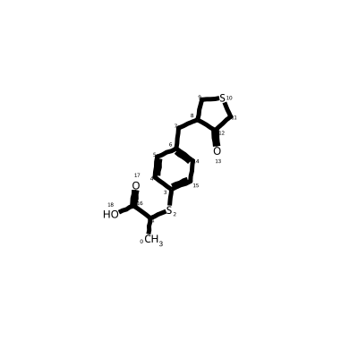 CC(Sc1ccc(CC2CSCC2=O)cc1)C(=O)O